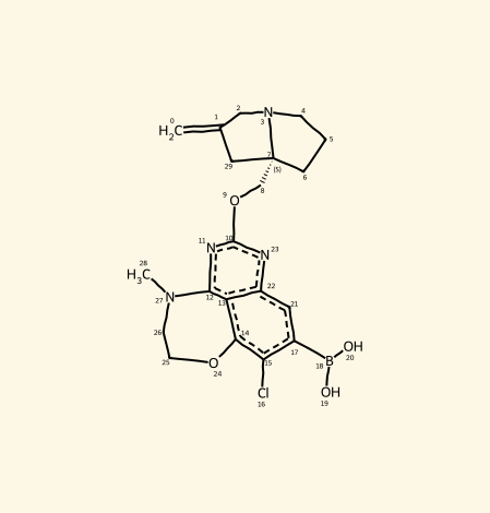 C=C1CN2CCC[C@@]2(COc2nc3c4c(c(Cl)c(B(O)O)cc4n2)OCCN3C)C1